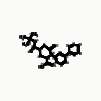 CC(C)(C)OC(=O)N1CC(=O)N(c2cccc(-c3ccccc3)c2)C(C(=O)O)C1